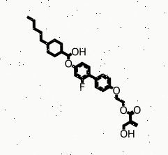 C=C(CO)C(=O)OCCOc1ccc(-c2ccc(OC(O)C3CCC(CCCCC)CC3)cc2F)cc1